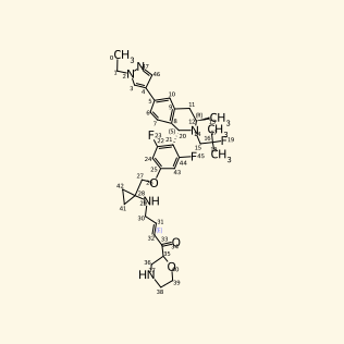 CCn1cc(-c2ccc3c(c2)C[C@@H](C)N(CC(C)(C)F)[C@@H]3c2c(F)cc(OCC3(NC/C=C/C(=O)C4CNCCO4)CC3)cc2F)cn1